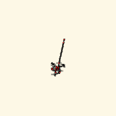 CC[C@H](C)[C@H](NC(=O)C(C)(C)N(C)C)C(=O)N(C)[C@H](C[C@@H](OC(C)=O)c1nc(C(=O)N[C@H](CCC(=O)O)Cc2ccc(O)c(NC(=O)[C@H](C)NC(=O)[C@H](C)NC(=O)[C@H](C)NC(=O)[C@H](CCCCNC(=O)COCCOCCOCCOCCOCCOCCOCCOCCOCCOC)NC(=O)CCCN3C(=O)C=CC3=O)c2)cs1)C(C)C